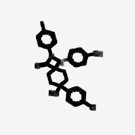 Cc1ccc(N2C(=O)C3(CCC(O)(c4ccc(Cl)cc4)CC3)[C@H]2c2ccc(O)cc2)cc1